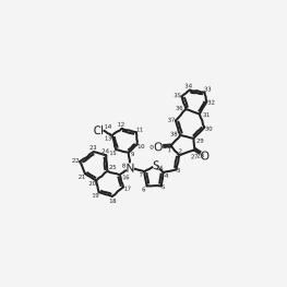 O=C1C(=Cc2ccc(N(c3cccc(Cl)c3)c3cccc4ccccc34)s2)C(=O)c2cc3ccccc3cc21